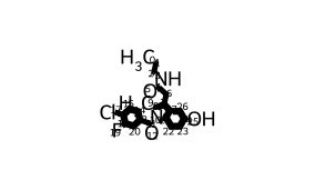 CCCNC(=O)Cc1c(C)n(C(=O)c2ccc(Cl)c(F)c2)c2ccc(O)cc12